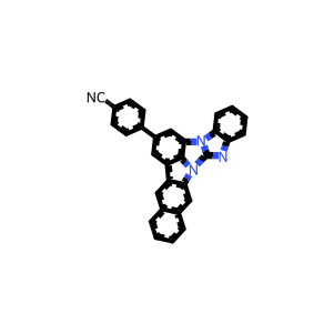 N#Cc1ccc(-c2cc3c4cc5ccccc5cc4n4c3c(c2)n2c3ccccc3nc24)cc1